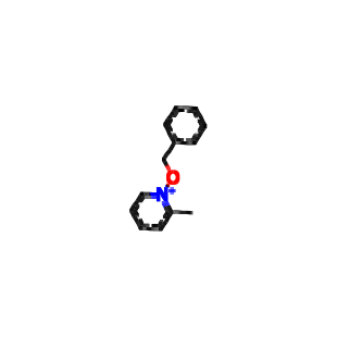 Cc1cccc[n+]1OCc1ccccc1